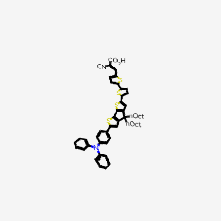 [C-]#[N+]/C(=C\c1ccc(-c2ccc(-c3cc4c(s3)-c3sc(-c5ccc(N(c6ccccc6)c6ccccc6)cc5)cc3C4(CCCCCCCC)CCCCCCCC)s2)s1)C(=O)O